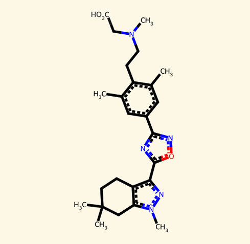 Cc1cc(-c2noc(-c3nn(C)c4c3CCC(C)(C)C4)n2)cc(C)c1CCN(C)CC(=O)O